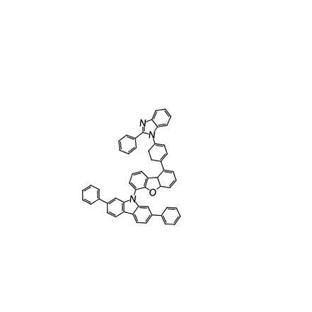 C1=CC2Oc3c(cccc3-n3c4cc(-c5ccccc5)ccc4c4ccc(-c5ccccc5)cc43)C2C(C2=CC=C(n3c(-c4ccccc4)nc4ccccc43)CC2)=C1